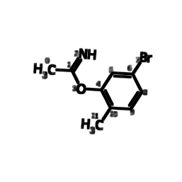 CC(=N)Oc1cc(Br)ccc1C